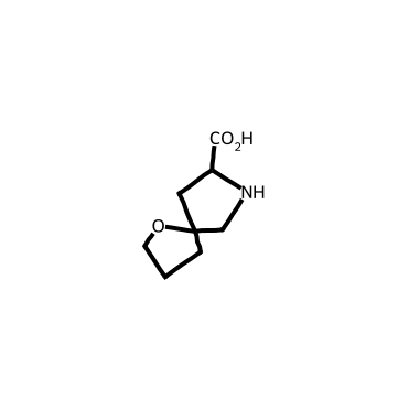 O=C(O)C1CC2(CCCO2)CN1